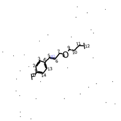 Fc1ccc(/C=C/COCCCI)cc1